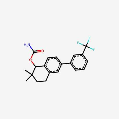 CC1(C)CCc2cc(-c3cccc(C(F)(F)F)c3)ccc2C1OC(N)=O